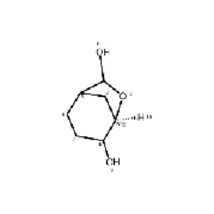 OC1O[C@@H]2CC1CCC2O